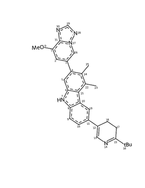 COc1cc(-c2cc3[nH]c4ccc(C5=CN=C(C(C)(C)C)CC5)cc4c3c(C)c2C)cn2ncnc12